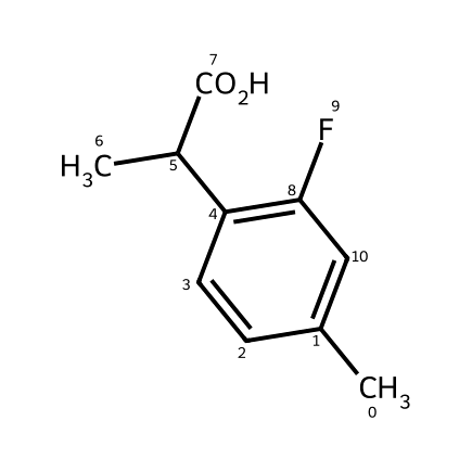 Cc1ccc(C(C)C(=O)O)c(F)c1